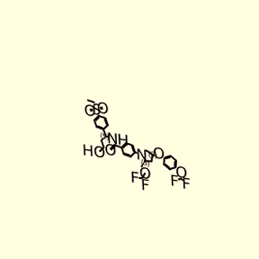 CCS(=O)(=O)c1ccc([C@H](CCO)NC(=O)c2ccc(N3C[C@@H](Oc4ccc(OC(F)F)cc4)C[C@H]3COC(F)F)cc2)cc1